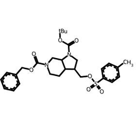 Cc1ccc(S(=O)(=O)OCC2CN(C(=O)OC(C)(C)C)C3CN(C(=O)OCc4ccccc4)CCC23)cc1